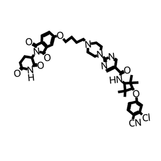 CC1(C)C(NC(=O)c2cnc(N3CCN(CCCCOc4ccc5c(c4)C(=O)N(C4CCC(=O)NC4=O)C5=O)CC3)nc2)C(C)(C)C1Oc1ccc(C#N)c(Cl)c1